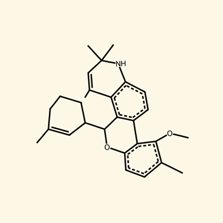 COc1c(C)ccc2c1-c1ccc3c(c1C(C1C=C(C)CCC1)O2)C(C)=CC(C)(C)N3